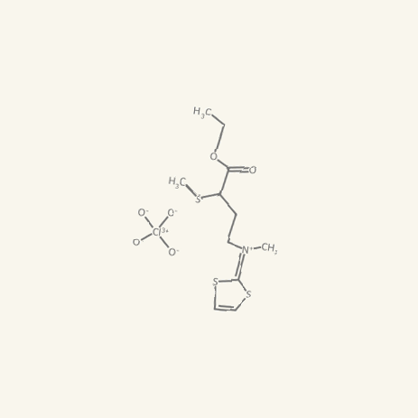 CCOC(=O)C(CC[N+](C)=c1sccs1)SC.[O-][Cl+3]([O-])([O-])[O-]